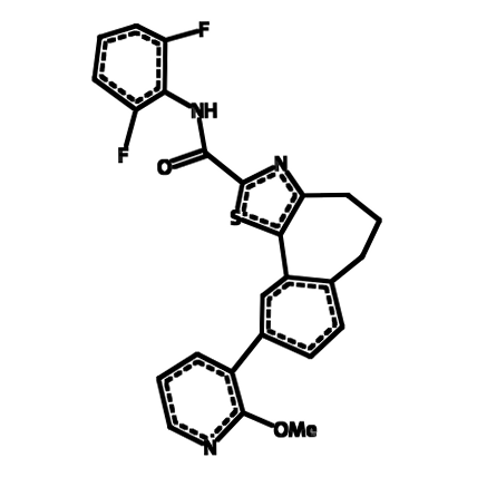 COc1ncccc1-c1ccc2c(c1)-c1sc(C(=O)Nc3c(F)cccc3F)nc1CCC2